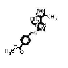 CCn1c(SCc2ccc(C(=O)OC)cc2)nnc1-c1snnc1C